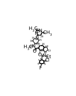 CCN(C(=O)c1ccc(F)cc1Cl)[C@@H]1CCc2ccc(C(=O)N(C)C3CCN(c4cc(C)nc(C)n4)CC3)cc21